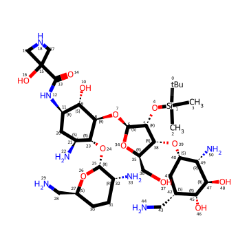 CC(C)(C)[Si](C)(C)O[C@H]1[C@H](O[C@@H]2[C@@H](O)[C@H](NC(=O)C3(O)CNC3)C[C@H](N)[C@H]2O[C@H]2O[C@H](CN)CC[C@H]2N)O[C@H](CO)[C@H]1O[C@H]1C[C@@H](CN)[C@@H](O)[C@H](O)[C@H]1N